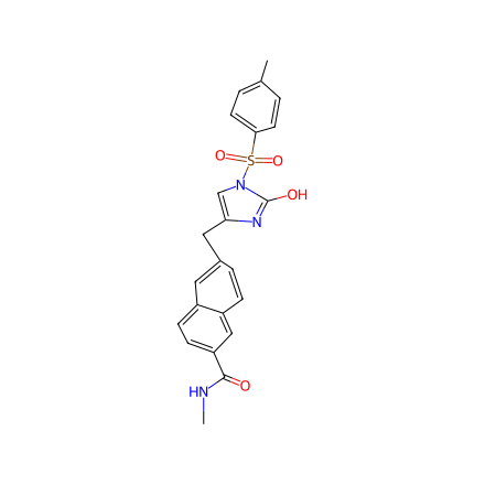 CNC(=O)c1ccc2cc(Cc3cn(S(=O)(=O)c4ccc(C)cc4)c(O)n3)ccc2c1